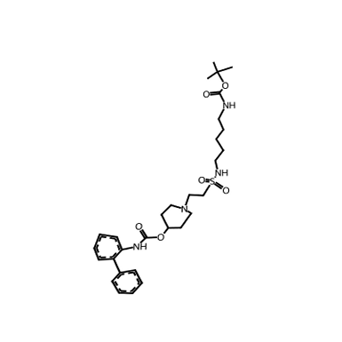 CC(C)(C)OC(=O)NCCCCCNS(=O)(=O)CCN1CCC(OC(=O)Nc2ccccc2-c2ccccc2)CC1